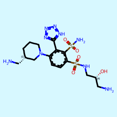 NC[C@@H](O)CNS(=O)(=O)c1ccc(N2CCC[C@@H](CN)C2)c(-c2nnn[nH]2)c1S(N)(=O)=O